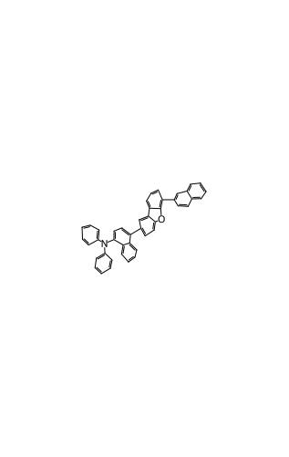 c1ccc(N(c2ccccc2)c2ccc(-c3ccc4oc5c(-c6ccc7ccccc7c6)cccc5c4c3)c3ccccc23)cc1